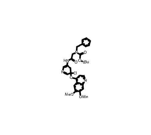 COc1cc2nccc(OC3(Cl)C=NC=C(NC(=O)CN(Cc4ccccc4)C(=O)OC(C)(C)C)C3)c2cc1OC